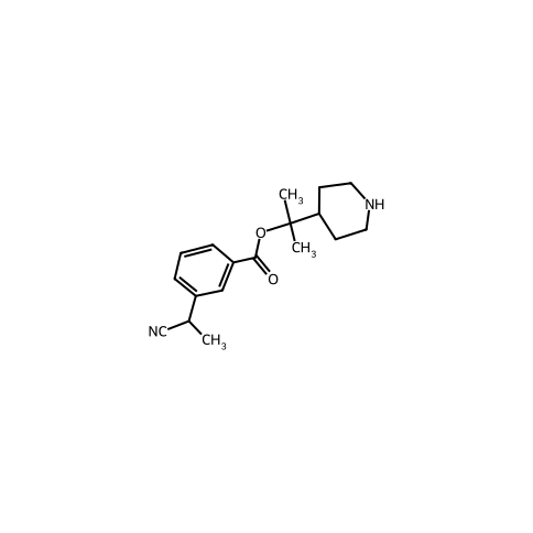 CC(C#N)c1cccc(C(=O)OC(C)(C)C2CCNCC2)c1